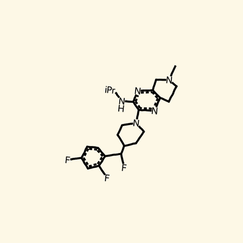 CC(C)Nc1nc2c(nc1N1CCC(C(F)c3ccc(F)cc3F)CC1)CCN(C)C2